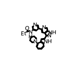 CCC(=O)Nc1cncc(-c2cc3c(-c4cc5c([nH]4)C=C=CC=C5N4CCCCC4)n[nH]c3cn2)c1